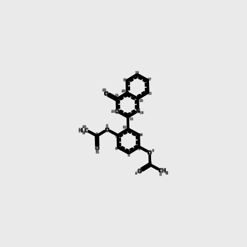 CC(=O)Oc1ccc(OC(C)=O)c(-c2nc3ccccc3c(=O)o2)c1